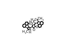 C=C(C)C1=C(/C(C)=C2\C(=O)C(=O)C(c3[nH]c(C)c4c3-c3cccc5cccc-4c35)=C2O)c2cccc3cccc1c23